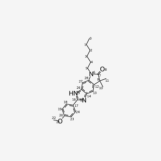 CCCCCCN1C(=O)C(C)(C)c2cc3nc(-c4ccc(OC)cc4)[nH]c3cc21